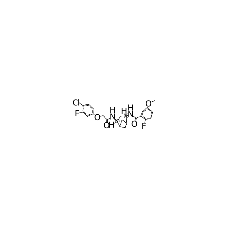 COc1ccc(F)c(C(=O)N[C@@H]2C[C@H](NC(=O)COc3ccc(Cl)c(F)c3)C3CC2C3)c1